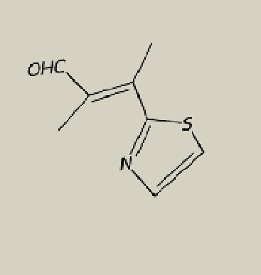 CC(C=O)=C(C)c1nccs1